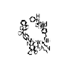 COc1cc2nc(N3CCN(C(=O)C4COc5ccccc5O4)CC3)nc(N)c2cc1OC.Cc1cnc(C(=O)NCCc2ccc(S(=O)(=O)NC(=O)NC3CCCCC3)cc2)cn1